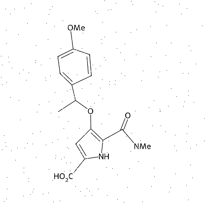 CNC(=O)c1[nH]c(C(=O)O)cc1OC(C)c1ccc(OC)cc1